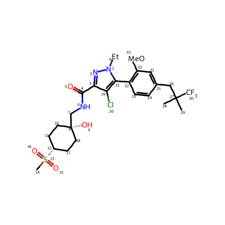 CCn1nc(C(=O)NC[C@]2(O)CC[C@@H](S(C)(=O)=O)CC2)c(Cl)c1-c1ccc(CC(C)(C)C(F)(F)F)cc1OC